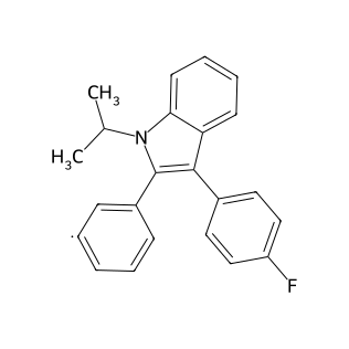 CC(C)n1c(-c2c[c]ccc2)c(-c2ccc(F)cc2)c2ccccc21